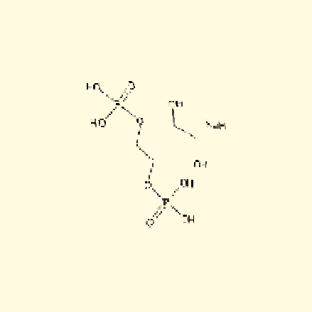 O=P(O)(O)OCCOP(=O)(O)O.OCCO.[NaH]